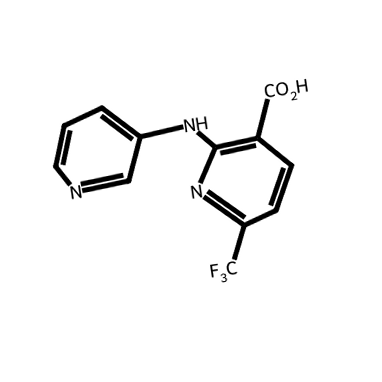 O=C(O)c1ccc(C(F)(F)F)nc1Nc1cccnc1